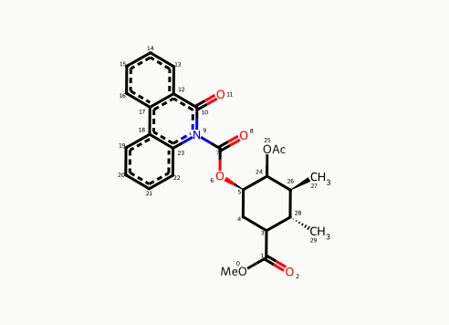 COC(=O)C1C[C@@H](OC(=O)n2c(=O)c3ccccc3c3ccccc32)C(OC(C)=O)[C@@H](C)[C@@H]1C